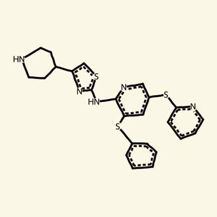 c1ccc(Sc2cc(Sc3ccccn3)cnc2Nc2nc(C3CCNCC3)cs2)cc1